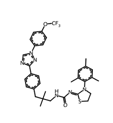 Cc1cc(C)c(N2CCS/C2=N\C(=O)NCC(C)(C)Cc2ccc(-c3ncn(-c4ccc(OC(F)(F)F)cc4)n3)cc2)c(C)c1